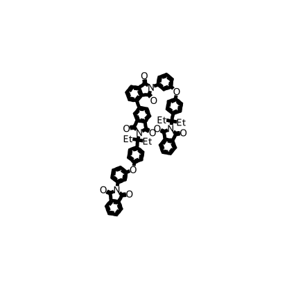 CCC(CC)(c1ccc(Oc2cccc(N3C(=O)c4cccc(-c5ccc6c(c5)C(=O)N(C(CC)(CC)c5ccc(Oc7cccc(N8C(=O)c9ccccc9C8=O)c7)cc5)C6=O)c4C3=O)c2)cc1)N1C(=O)c2ccccc2C1=O